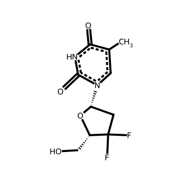 Cc1cn([C@@H]2CC(F)(F)[C@H](CO)O2)c(=O)[nH]c1=O